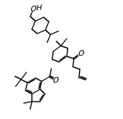 C=CCCC(=O)C1=CCCC(C)(C)C1.CC(=O)c1cc(C(C)(C)C)cc2c1C=CC2(C)C.CC(C)C1CCC(CO)CC1